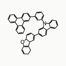 C1=CC2=C(CC1)C1C=C(c3ccc4c5ccccc5n(-c5cccc(-c6ccc7c8ccccc8c8ccccc8c7c6)c5)c4c3)C=CC1O2